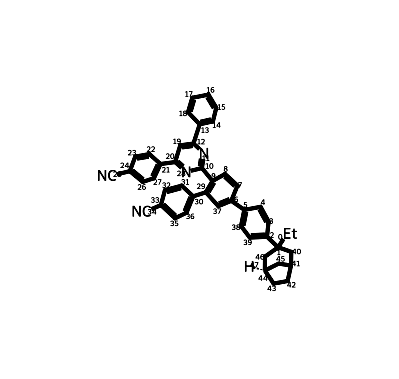 CCC1(c2ccc(-c3ccc(-c4nc(-c5ccccc5)cc(-c5ccc(C#N)cc5)n4)c(-c4ccc(C#N)cc4)c3)cc2)CC2CC[C@H](C2)C1